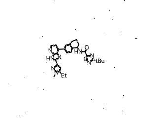 CCc1cc(-c2nc3c(-c4ccc5c(c4)CCCC5NC(=O)c4nc(C(C)(C)C)no4)ccnc3[nH]2)nn1C